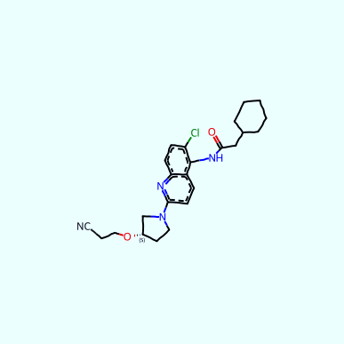 N#CCCO[C@H]1CCN(c2ccc3c(NC(=O)CC4CCCCC4)c(Cl)ccc3n2)C1